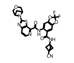 N#CC12CC(NC(=O)c3cc4c(cc3NC(=O)c3nccc5nc(N6C7COCC6C7)sc35)OC(F)(F)O4)(C1)C2